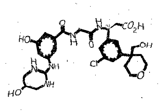 O=C(O)C[C@H](NC(=O)CNC(=O)c1cc(O)cc(NC2NCC(O)CN2)c1)c1cc(Cl)cc(C2(CO)CCOCC2)c1